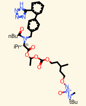 CCCCC(=O)N(Cc1ccc(-c2ccccc2-c2nnn[nH]2)cc1)[C@H](C(=O)OC(C)OC(=O)OCCC(C)CCO/N=[N+](\[O-])N(C)C(C)(C)C)C(C)C